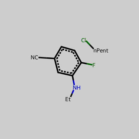 CCCCCCl.CCNc1cc(C#N)ccc1F